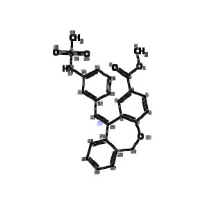 COC(=O)c1ccc2c(c1)/C(=C\c1cccc(NS(C)(=O)=O)c1)c1ccccc1CO2